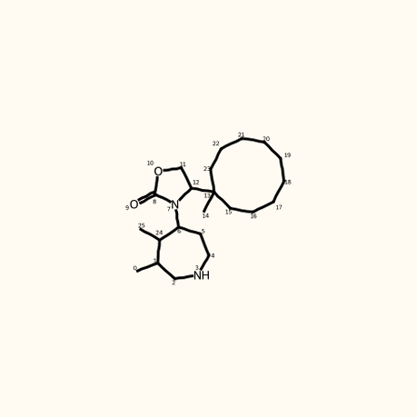 CC1CNCCC(N2C(=O)OCC2C2(C)CCCCCCCCC2)C1C